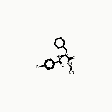 N#CCNC(=O)[C@H](CC1CCCCC1)NC(=O)c1ccc(Br)cc1